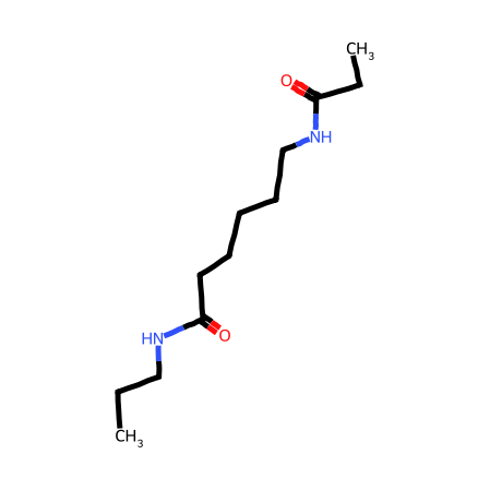 CCCNC(=O)CCCCCNC(=O)CC